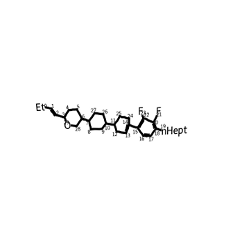 CC/C=C/C1CCC(C2CCC(C3CC=C(c4ccc(CCCCCCC)c(F)c4F)CC3)CC2)CO1